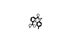 COC(=O)c1cccc(C(=O)N(C)c2ccc(C)cc2)n1